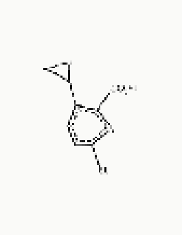 CCOC(=O)c1nc(CC)ccc1C1CC1